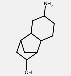 NC1CCC2C3CC(CC3O)C2C1